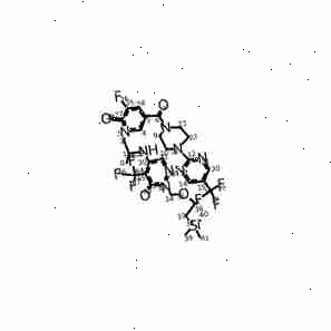 CC(Cn1cc(C(=O)N2CCN(c3ncc(C(F)(F)F)cn3)CC2)cc(F)c1=O)Nc1cnn(COCC[Si](C)(C)C)c(=O)c1C(F)(F)F